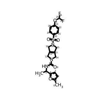 Cc1ccc(C(C)NC(=O)N2CC3=C(C2)CN(S(=O)(=O)c2ccc(OC(F)F)cc2)C3)o1